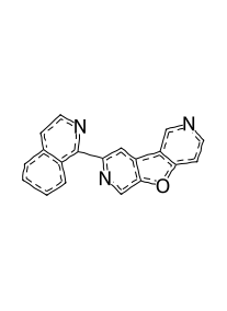 c1ccc2c(-c3cc4c(cn3)oc3ccncc34)nccc2c1